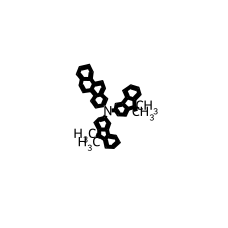 CC1(C)c2ccccc2-c2cc(N(c3ccc4c(c3)-c3ccccc3C4(C)C)c3ccc4c(ccc5c6ccccc6ccc45)c3)ccc21